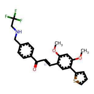 COc1cc(OC)c(-c2cccs2)cc1/C=C/C(=O)c1ccc(CNCC(F)(F)F)cc1